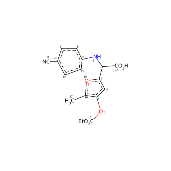 CCOC(=O)Oc1cc(C(Nc2ccc(C#N)cc2)C(=O)O)oc1C